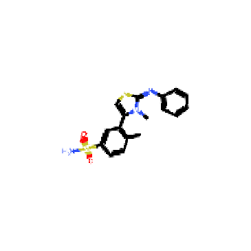 Cc1ccc(S(N)(=O)=O)cc1-c1csc(=Nc2ccccc2)n1C